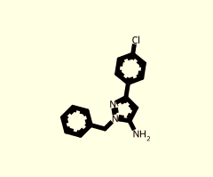 Nc1cc(-c2ccc(Cl)cc2)nn1Cc1ccccc1